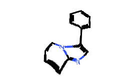 [c]1cccn2c(-c3ccccc3)cnc12